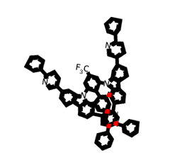 Fc1cccc(F)c1-c1c(-n2c3cc(-c4ccc(-c5ccccc5)nc4)ccc3c3ccc(-c4ccc(-c5ccccc5)nc4)cc32)cc(C(F)(F)F)cc1-n1c2cc(-c3ccc(-c4ccccc4)nc3)ccc2c2ccc(-c3ccc(-c4ccccc4)nc3)cc21